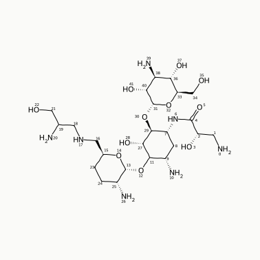 NC[C@H](O)C(=O)N[C@@H]1C[C@H](N)C(O[C@H]2O[C@H](CNCC(N)CO)CC[C@H]2N)[C@H](O)[C@H]1O[C@H]1O[C@H](CO)[C@@H](O)[C@H](N)[C@H]1O